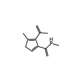 C=C(C)C1=C(C)CC=C1C(=C)PC